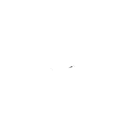 Fc1ccc(N2C[C@@H](F)[C@H](N(Cc3ccccc3)Cc3ccccc3)C2)cc1